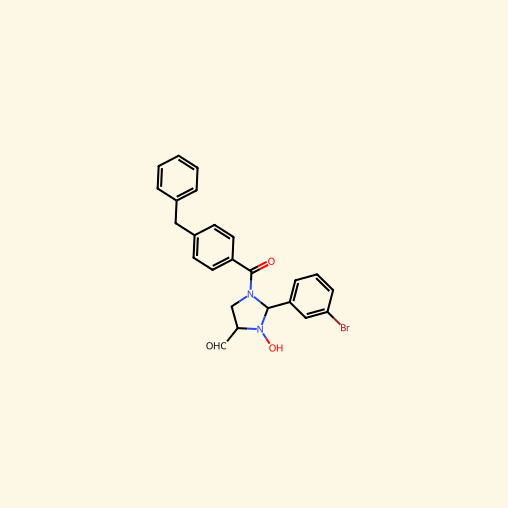 O=CC1CN(C(=O)c2ccc(Cc3ccccc3)cc2)C(c2cccc(Br)c2)N1O